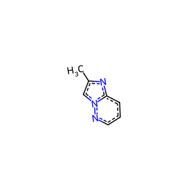 Cc1cn2ncccc2n1